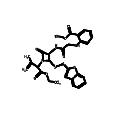 C=C(C)C(C(=O)OCC(Cl)(Cl)Cl)N1C(=O)C(NC(=O)CNc2ccccc2C(=O)OC(C)(C)C)C1SSc1nc2ccccc2s1